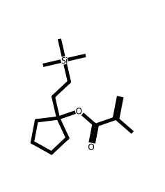 C=C(C)C(=O)OC1(CC[Si](C)(C)C)CCCC1